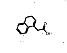 O=C(O)CC1=CCCc2ccccc21